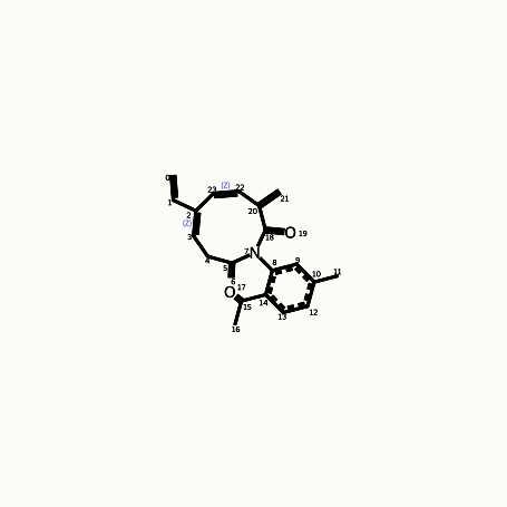 C=CC1=C/CC(=C)N(c2cc(C)ccc2C(C)=O)C(=O)C(=C)/C=C\1